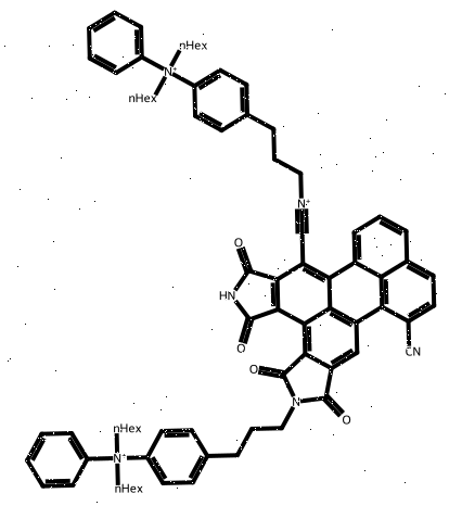 CCCCCC[N+](CCCCCC)(c1ccccc1)c1ccc(CCC[N+]#Cc2c3c(=O)[nH]c(=O)c3c3c4c(=O)n(CCCc5ccc([N+](CCCCCC)(CCCCCC)c6ccccc6)cc5)c(=O)c4cc4c5c(C#N)ccc6cccc(c2c43)c65)cc1